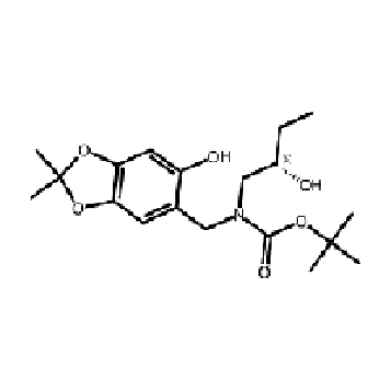 CC[C@H](O)CN(Cc1cc2c(cc1O)OC(C)(C)O2)C(=O)OC(C)(C)C